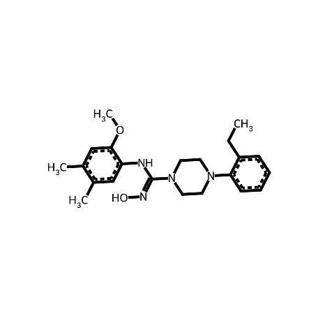 CCc1ccccc1N1CCN(C(=NO)Nc2cc(C)c(C)cc2OC)CC1